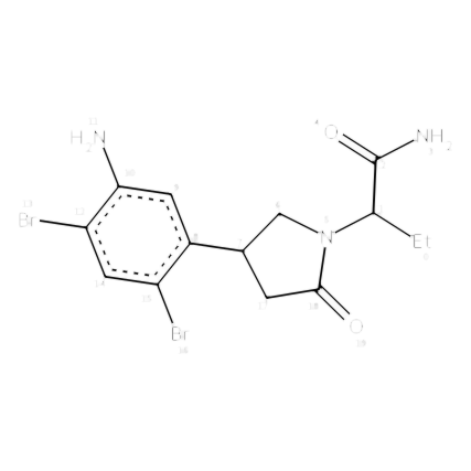 CCC(C(N)=O)N1CC(c2cc(N)c(Br)cc2Br)CC1=O